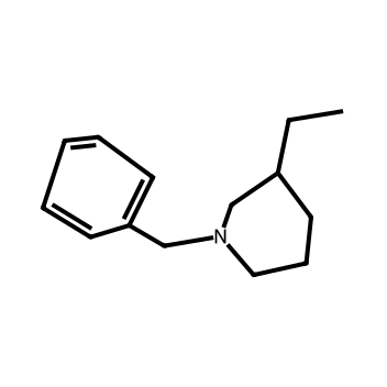 CCC1CCCN(Cc2ccccc2)C1